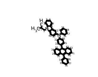 CC(C)Cn1c2ccccc2c2cc(N(c3ccccc3)c3ccc(-c4c5ccccc5c(-c5ccccc5)c5ccccc45)cc3)ccc21